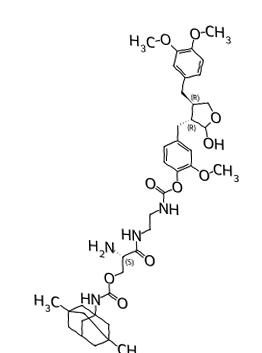 COc1ccc(C[C@H]2COC(O)[C@@H]2Cc2ccc(OC(=O)NCCNC(=O)[C@@H](N)COC(=O)NC34CC5CC(C)(CC(C)(C5)C3)C4)c(OC)c2)cc1OC